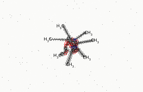 CCCCCCCCCCCCCCCCC(C)CC(C(=O)OCCOc1ccc(C(=O)CC(=O)c2ccc(C)cc2)cc1)C(C(=O)O)C(CCCCCCCCCCCCCCCC)CC1C(=O)N(CCCCCCCCCCCC)C(=O)C1C(CCCCCCCCCCCCCCCC)CC(C(=O)NCCCCCCCCCCCC)C(C(=O)O)C(CCCCCCCCCCCCCCCC)CC1C(=O)OC(=O)C1C